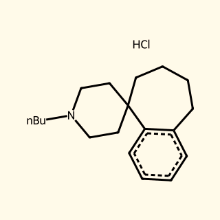 CCCCN1CCC2(CCCCc3ccccc32)CC1.Cl